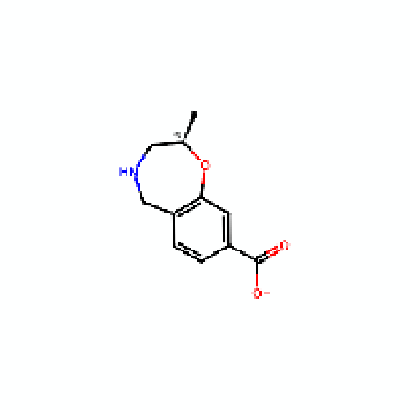 C[C@@H]1CNCc2ccc(C(=O)O)cc2O1